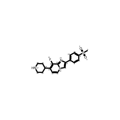 CS(=O)(=O)c1ccc(-c2cn3ccc(C4CCNCC4)c(F)c3n2)cc1